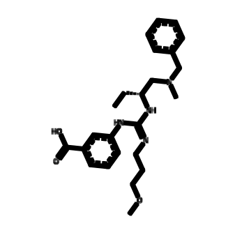 CC[C@H](CN(C)Cc1ccccc1)N/C(=N/CCCOC)Nc1cccc(C(=O)O)c1